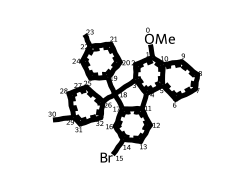 COc1cc2c(c3ccccc13)-c1ccc(Br)cc1C2(c1ccc(C)cc1)c1ccc(C)cc1